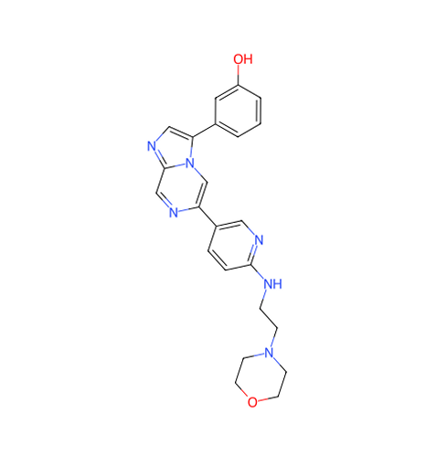 Oc1cccc(-c2cnc3cnc(-c4ccc(NCCN5CCOCC5)nc4)cn23)c1